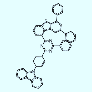 C1=CC(n2c3ccccc3c3ccccc32)CC=C1c1nc(-c2ccccc2)nc(-c2cccc3sc4c(-c5ccccc5)cc(-c5ccccc5)cc4c23)n1